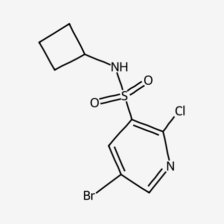 O=S(=O)(NC1CCC1)c1cc(Br)cnc1Cl